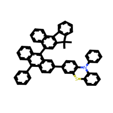 CC1(C)c2ccccc2-c2c1cc(-c1c3ccccc3c(-c3ccccc3)c3ccc(-c4ccc5c(c4)Sc4ccccc4N5c4ccccc4)cc13)c1ccccc21